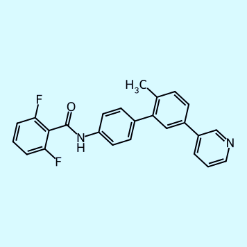 Cc1ccc(-c2cccnc2)cc1-c1ccc(NC(=O)c2c(F)cccc2F)cc1